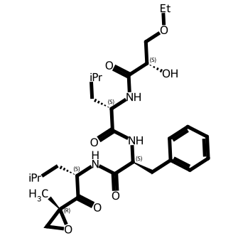 CCOC[C@H](O)C(=O)N[C@@H](CC(C)C)C(=O)N[C@@H](Cc1ccccc1)C(=O)N[C@@H](CC(C)C)C(=O)[C@@]1(C)CO1